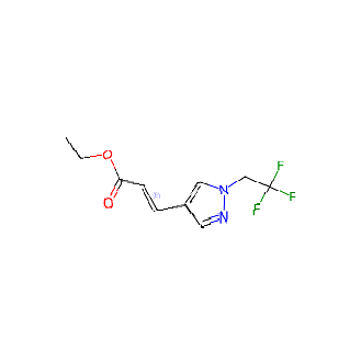 CCOC(=O)/C=C/c1cnn(CC(F)(F)F)c1